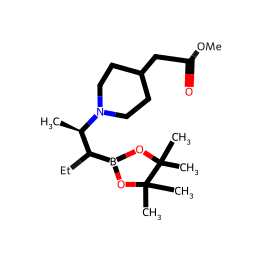 CCC(B1OC(C)(C)C(C)(C)O1)[C@@H](C)N1CCC(CC(=O)OC)CC1